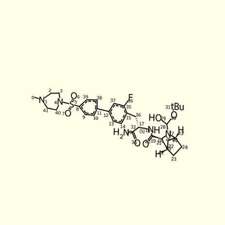 CN1CCN(S(=O)(=O)c2ccc(-c3ccc(C[C@H](NC(=O)[C@@H]4[C@H]5CC[C@H](C5)N4C(O)OC(C)(C)C)C(N)=O)c(F)c3)cc2)CC1